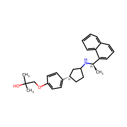 C[C@@H](NC1CC[C@H](c2ccc(OCC(C)(C)O)cc2)C1)c1cccc2ccccc12